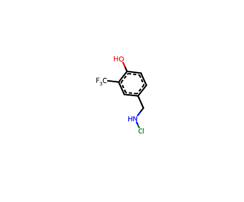 Oc1ccc(CNCl)cc1C(F)(F)F